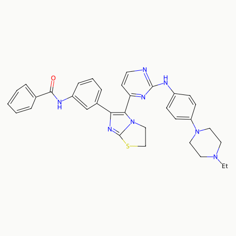 CCN1CCN(c2ccc(Nc3nccc(-c4c(-c5cccc(NC(=O)c6ccccc6)c5)nc5n4CCS5)n3)cc2)CC1